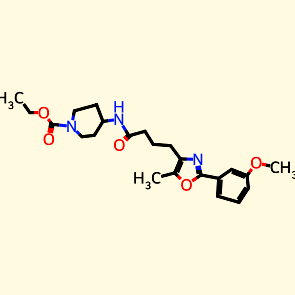 CCOC(=O)N1CCC(NC(=O)CCCc2nc(-c3cccc(OC)c3)oc2C)CC1